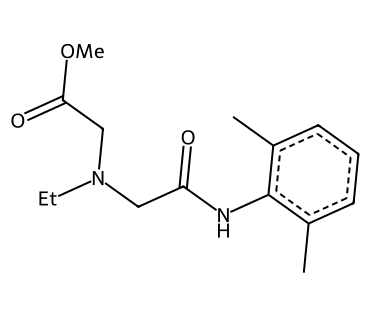 CCN(CC(=O)Nc1c(C)cccc1C)CC(=O)OC